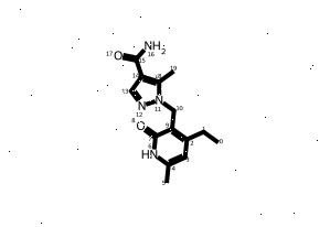 CCc1cc(C)[nH]c(=O)c1Cn1ncc(C(N)=O)c1C